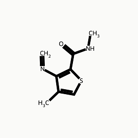 C=Nc1c(C)csc1C(=O)NC